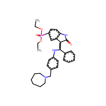 CCOP(=O)(OCC)c1ccc2c(c1)C(=C(Nc1ccc(CN3CCCCCC3)cc1)c1ccccc1)C(=O)N2